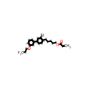 C=CC(=O)OCCCCCc1ccc(-c2cccc(OCCC(F)(F)F)c2)cc1CC